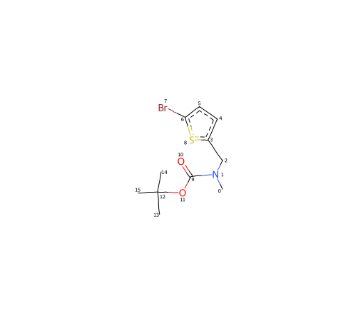 CN(Cc1ccc(Br)s1)C(=O)OC(C)(C)C